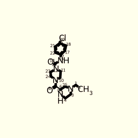 CCN1CCN[C@@H](C(=O)N2CCN(C(=O)Nc3ccc(Cl)cc3)CC2)C1